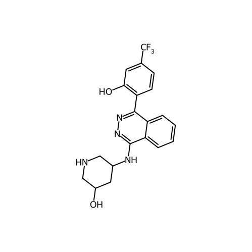 Oc1cc(C(F)(F)F)ccc1-c1nnc(NC2CNCC(O)C2)c2ccccc12